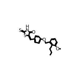 CCCc1c(COc2ccc(C=C3SC(=S)NC3=O)cc2)cccc1OC